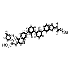 Cc1c(-c2ccc3c(c2)CC(NC(=O)OC(C)(C)C)C3)cccc1-c1cccc(-c2ccn3c(=O)c(CN(C[C@@H]4CCC(=O)N4)C(=O)O)cnc3c2)c1C